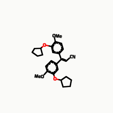 COc1ccc(C(=CC#N)c2ccc(OC)c(OC3CCCC3)c2)cc1OC1CCCC1